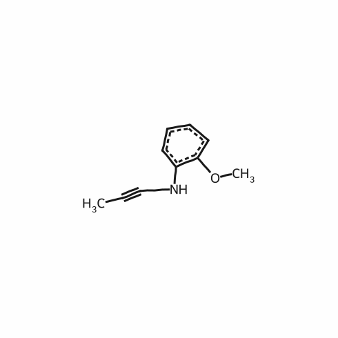 CC#CNc1ccccc1OC